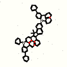 CC1(C)c2c(ccc3cc(N(c4ccccc4)c4ccc(-c5ccccc5)cc4-c4ccccc4)ccc23)-c2c1c1ccc(N(c3ccccc3)c3ccc(-c4ccccc4)cc3-c3ccccc3)cc1c1ccccc21